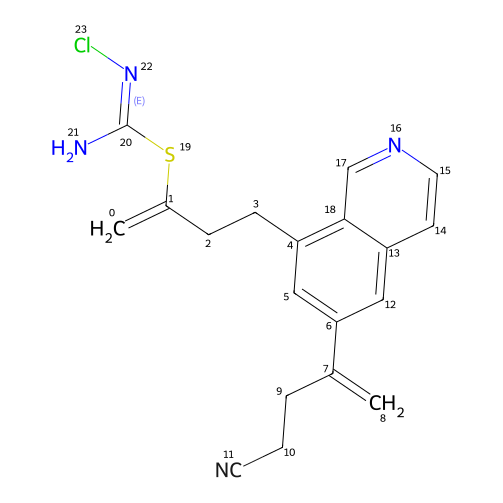 C=C(CCc1cc(C(=C)CCC#N)cc2ccncc12)S/C(N)=N/Cl